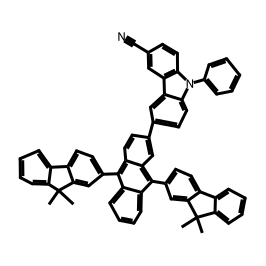 CC1(C)c2ccccc2-c2ccc(-c3c4ccccc4c(-c4ccc5c(c4)C(C)(C)c4ccccc4-5)c4cc(-c5ccc6c(c5)c5cc(C#N)ccc5n6-c5ccccc5)ccc34)cc21